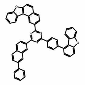 c1ccc(-c2ccc3ccc(-c4nc(-c5ccc(-c6cccc7oc8ccccc8c67)cc5)nc(-c5ccc6ccc7oc8ccccc8c7c6c5)n4)cc3c2)cc1